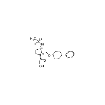 CS(=O)(=O)N[C@H]1CCN(C(=O)CO)[C@H]1COC1CCC(c2ccccc2)CC1